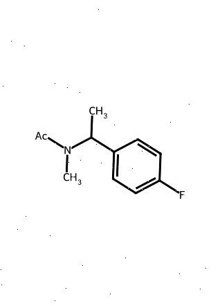 CC(=O)N(C)C(C)c1ccc(F)cc1